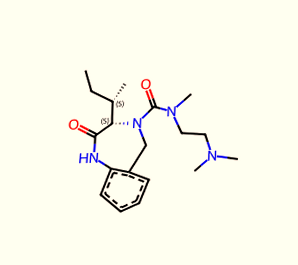 CC[C@H](C)[C@H]1C(=O)Nc2ccccc2CN1C(=O)N(C)CCN(C)C